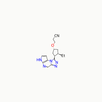 CC[C@@H]1C[C@@H](OCCC#N)C[C@@H]1c1nnc2cnc3[nH]ccc3n12